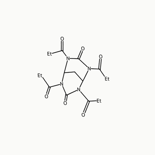 CCC(=O)N1C(=O)N(C(=O)CC)C2CC1N(C(=O)CC)C(=O)N2C(=O)CC